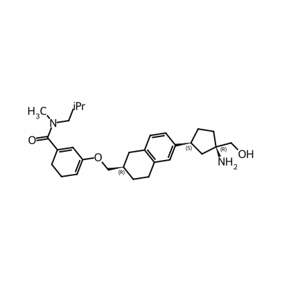 CC(C)CN(C)C(=O)C1=CC(OC[C@@H]2CCc3cc([C@H]4CC[C@](N)(CO)C4)ccc3C2)=CCC1